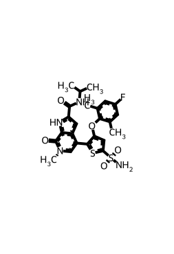 Cc1cc(F)cc(C)c1Oc1cc(S(N)(=O)=O)sc1-c1cn(C)c(=O)c2[nH]c(C(=O)NC(C)C)cc12